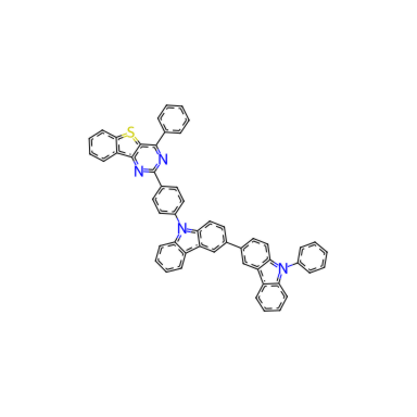 c1ccc(-c2nc(-c3ccc(-n4c5ccccc5c5cc(-c6ccc7c(c6)c6ccccc6n7-c6ccccc6)ccc54)cc3)nc3c2sc2ccccc23)cc1